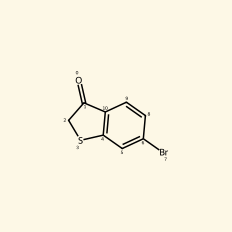 O=C1CSc2cc(Br)ccc21